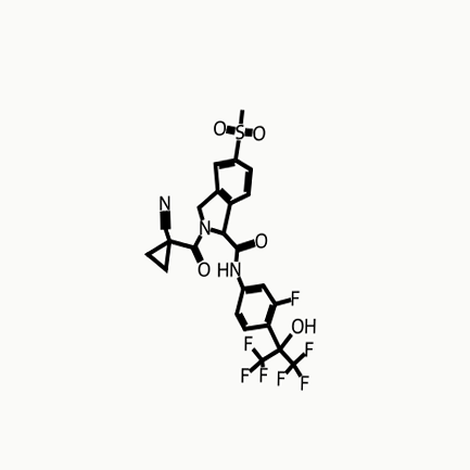 CS(=O)(=O)c1ccc2c(c1)CN(C(=O)C1(C#N)CC1)C2C(=O)Nc1ccc(C(O)(C(F)(F)F)C(F)(F)F)c(F)c1